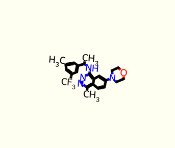 Cc1cc(C(C)Nc2nnc(C)c3ccc(N4CCOCC4)cc23)cc(C(F)(F)F)c1